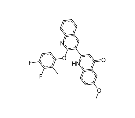 COc1ccc2[nH]c(-c3cc4ccccc4nc3Oc3ccc(F)c(F)c3C)cc(=O)c2c1